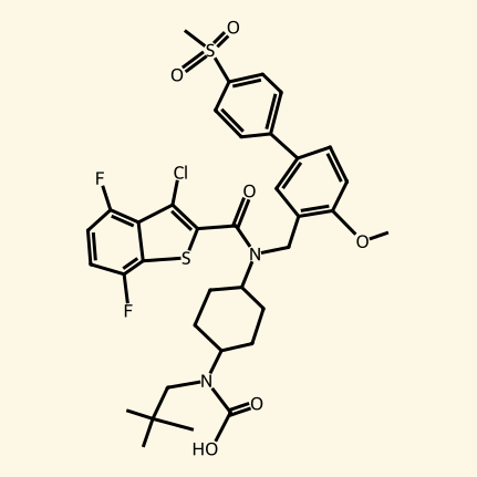 COc1ccc(-c2ccc(S(C)(=O)=O)cc2)cc1CN(C(=O)c1sc2c(F)ccc(F)c2c1Cl)C1CCC(N(CC(C)(C)C)C(=O)O)CC1